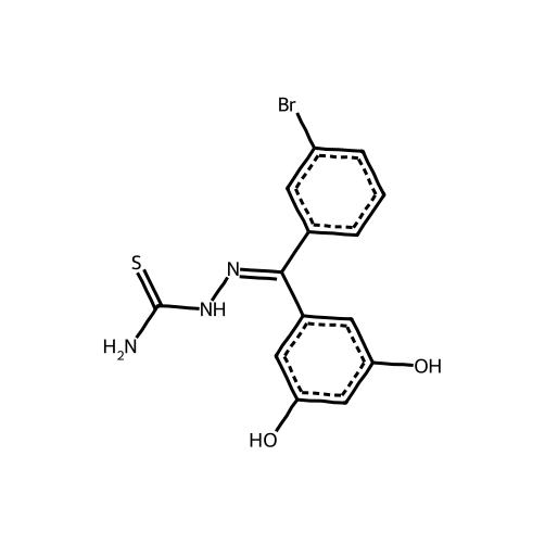 NC(=S)N/N=C(\c1cc(O)cc(O)c1)c1cccc(Br)c1